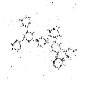 c1ccc(-c2cc(-c3ccncc3)cc(-c3cccc(-c4ccccc4-c4ccc5c6ccccc6c6ccccc6c5c4)c3)c2)nc1